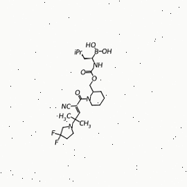 CC(C)C[C@H](NC(=O)OCC1CCCCN1C(=O)C(C#N)=CC(C)(C)N1CCC(F)(F)C1)B(O)O